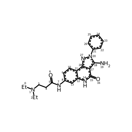 CCN(CC)CCC(=O)Nc1ccc2c(c1)[nH]c(=O)c1c(N)n(-c3ccccc3)nc12